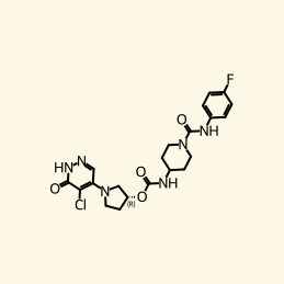 O=C(NC1CCN(C(=O)Nc2ccc(F)cc2)CC1)O[C@@H]1CCN(c2cn[nH]c(=O)c2Cl)C1